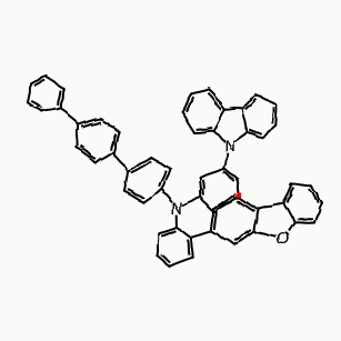 c1ccc(-c2ccc(-c3ccc(N(c4cccc(-n5c6ccccc6c6ccccc65)c4)c4ccccc4-c4ccc5c(c4)oc4ccccc45)cc3)cc2)cc1